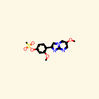 COc1cnc2nc(-c3ccc(OS(C)(=O)=O)cc3OC)cn2c1